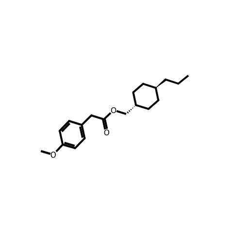 CCC[C@H]1CC[C@H](COC(=O)Cc2ccc(OC)cc2)CC1